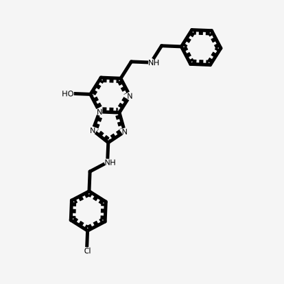 Oc1cc(CNCc2ccccc2)nc2nc(NCc3ccc(Cl)cc3)nn12